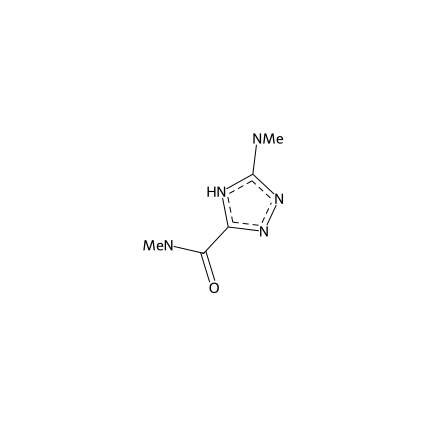 CNC(=O)c1nnc(NC)[nH]1